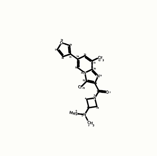 CSN(C)C1CN(C(=O)c2nc3c(C(F)(F)F)cc(-c4ccoc4)cn3c2Cl)C1